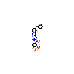 Cc1cccc(Cc2ccc3cnc(CNC(=O)c4ccc(C)c(S(C)(=O)=O)c4)cc3n2)c1